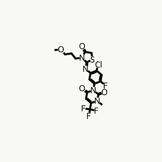 COCCCN1C(=O)CSC1=Nc1cc(-n2c(=O)cc(C(F)(F)F)n(C)c2=O)c(F)cc1Cl